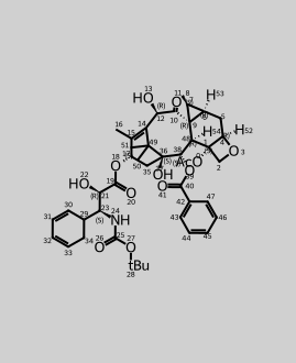 CC(=O)O[C@@]12CO[C@@H]1C[C@@H]1[C@H](C)[C@@]13C(=O)[C@H](O)C1=C(C)[C@@H](OC(=O)[C@H](O)[C@@H](NC(=O)OC(C)(C)C)C4C=CC=CC4)C[C@@](O)([C@@H](OC(=O)c4ccccc4)[C@H]23)C1(C)C